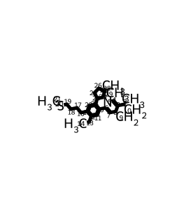 C=C(C)C1=CN2C(=CC1=C)c1cc(CC)c(CCCCSC)cc1C1CCC(C)(C)C12